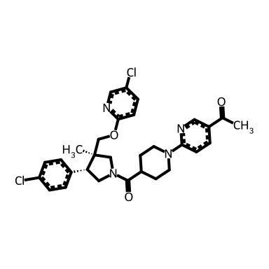 CC(=O)c1ccc(N2CCC(C(=O)N3C[C@H](c4ccc(Cl)cc4)[C@@](C)(COc4ccc(Cl)cn4)C3)CC2)nc1